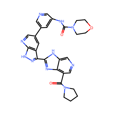 O=C(Nc1cncc(-c2cnc3[nH]nc(-c4nc5c(C(=O)N6CCCC6)cncc5[nH]4)c3c2)c1)N1CCOCC1